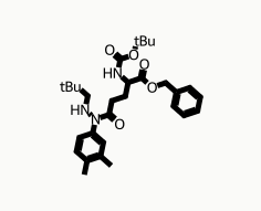 Cc1ccc(N(NCC(C)(C)C)C(=O)CCC(NC(=O)OC(C)(C)C)C(=O)OCc2ccccc2)cc1C